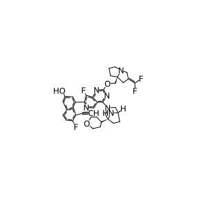 C#Cc1c(F)ccc2cc(O)cc(-c3ncc4c(N5C[C@@H]6CC[C@](C7CCOCC7)(C5)N6)nc(OC[C@@]56CCCN5CC(=C(F)F)C6)nc4c3F)c12